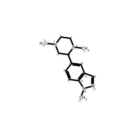 CN1CCN(C)C(c2ccc3c(cnn3C)c2)C1